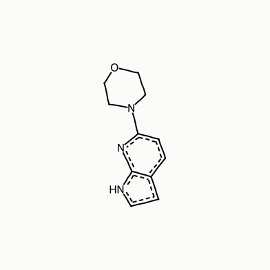 c1cc2ccc(N3CCOCC3)nc2[nH]1